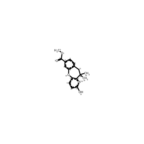 COC(=O)c1ccc2c(c1)Oc1ccc(O)nc1C(C)(C)C2